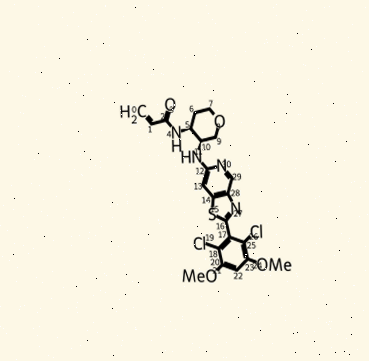 C=CC(=O)N[C@H]1CCOC[C@H]1Nc1cc2sc(-c3c(Cl)c(OC)cc(OC)c3Cl)nc2cn1